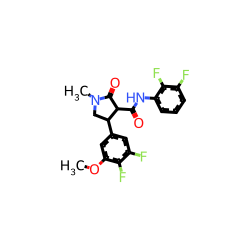 COc1cc(C2CN(C)C(=O)C2C(=O)Nc2cccc(F)c2F)cc(F)c1F